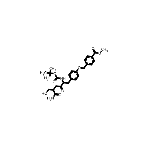 COC(=O)c1ccc(COc2ccc(CC(NC(=O)OC(C)(C)C)C(=O)CC(CO)C(N)=O)cc2)cc1